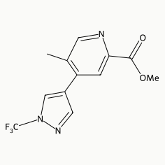 COC(=O)c1cc(-c2cnn(C(F)(F)F)c2)c(C)cn1